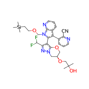 CC(C)(O)CO[C@@H]1COc2c(-c3c(-c4cccnc4C#N)c4cccnc4n3COCC[Si](C)(C)C)c(C(F)F)nn2C1